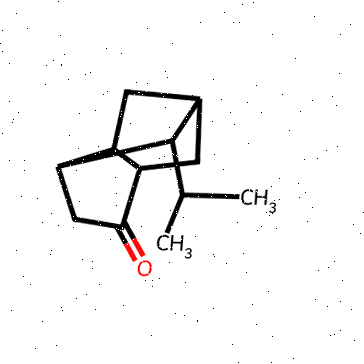 CC(C)C1C2CC3C(=O)CC1C3C2